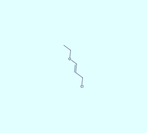 CCOC=CCCl